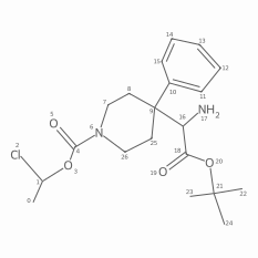 CC(Cl)OC(=O)N1CCC(c2ccccc2)(C(N)C(=O)OC(C)(C)C)CC1